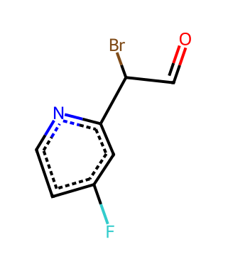 O=CC(Br)c1cc(F)ccn1